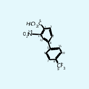 O=C(O)c1ccc(-c2ccc(C(F)(F)F)cc2)cc1[N+](=O)[O-]